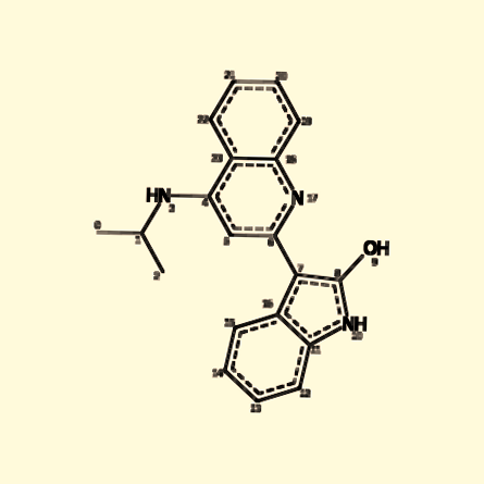 CC(C)Nc1cc(-c2c(O)[nH]c3ccccc23)nc2ccccc12